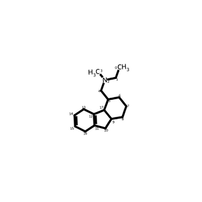 CCN(C)CC1CCCC2CC3=C(CC=CC3)C21